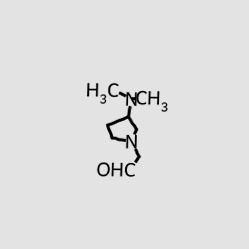 CN(C)C1CCN(CC=O)C1